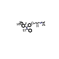 C=C(/C=C/CNCCOc1ccc(/C(=C(/CC)c2ccccc2)c2ccc3[nH]ncc3c2F)cc1)N(C)C